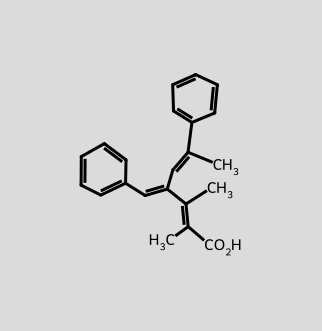 CC(=CC(=Cc1ccccc1)C(C)=C(C)C(=O)O)c1ccccc1